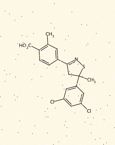 Cc1cc(C2=NSC(C)(c3cc(Cl)cc(Cl)c3)C2)ccc1C(=O)O